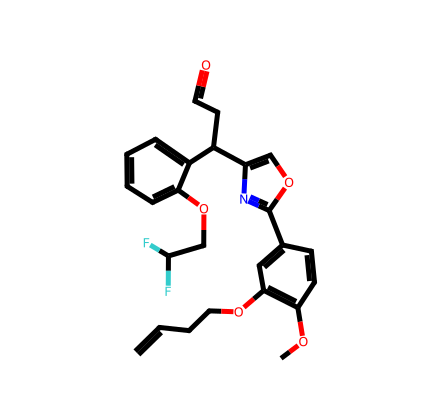 C=CCCOc1cc(-c2nc(C(CC=O)c3ccccc3OCC(F)F)co2)ccc1OC